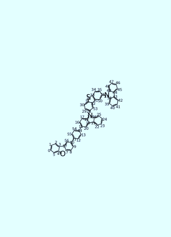 c1ccc2c(c1)oc1ccc(-c3ccc(-c4ccc5c(c4)c4ccccc4n5-c4ccc5sc6ccc(-n7c8ccccc8c8ccccc87)cc6c5c4)cc3)cc12